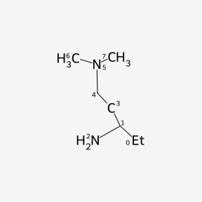 CCC(N)CCN(C)C